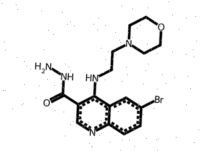 NNC(=O)c1cnc2ccc(Br)cc2c1NCCN1CCOCC1